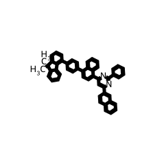 CC1(C)c2ccccc2-c2c(-c3ccc(-c4ccc(-c5cc(-c6ccc7ccccc7c6)nc(-c6ccccc6)n5)c5ccccc45)cc3)cccc21